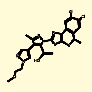 COCCn1cc(-c2c(C)nn(-c3nc4c(s3)SC(C)c3cc(Cl)c(Cl)cc3-4)c2C(=O)O)cn1